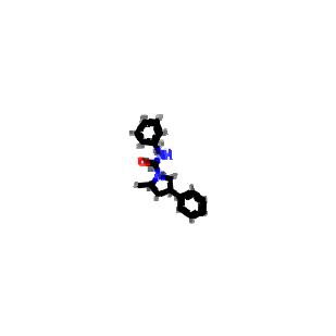 CC1CC(c2ccccc2)CN1C(=O)Nc1ccccc1